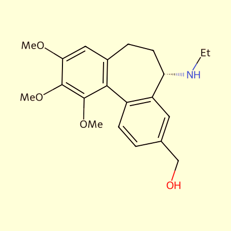 CCN[C@H]1CCc2cc(OC)c(OC)c(OC)c2-c2ccc(CO)cc21